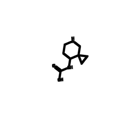 O=C(O)NC1CCNCC12CC2